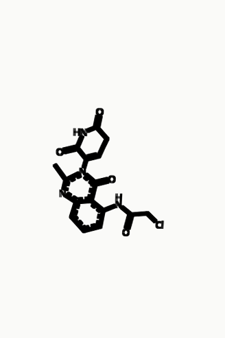 Cc1nc2cccc(NC(=O)CCl)c2c(=O)n1C1=CCC(=O)NC1=O